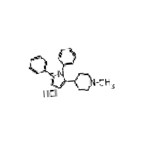 CN1CCC(C2=CC=S(c3ccccc3)N2c2ccccc2)CC1.Cl